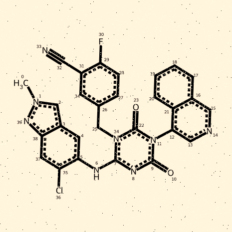 Cn1cc2cc(Nc3nc(=O)n(-c4cncc5ccccc45)c(=O)n3Cc3ccc(F)c(C#N)c3)c(Cl)cc2n1